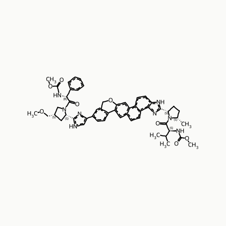 COC[C@H]1C[C@@H](c2nc(-c3ccc4c(c3)COc3cc5c(ccc6c5ccc5[nH]c([C@@H]7CC[C@H](C)N7C(=O)[C@@H](NC(=O)OC)C(C)C)nc56)cc3-4)c[nH]2)N(C(=O)[C@H](NC(=O)OC)c2ccccc2)C1